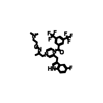 CC(CN1C=CN(C(=O)c2cc(C(F)(F)F)cc(C(F)(F)F)c2)C(Cc2c[nH]c3ccc(F)cc23)=C1)=NOCCN(C)C